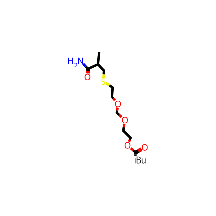 CCC(C)C(=O)OCCOCOCCSCC(C)C(N)=O